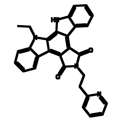 CCn1c2ccccc2c2c3c(c4c5ccccc5[nH]c4c21)C(=O)N(CCc1ccccn1)C3=O